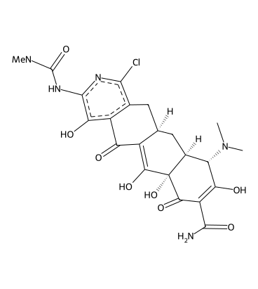 CNC(=O)Nc1nc(Cl)c2c(c1O)C(=O)C1=C(O)[C@]3(O)C(=O)C(C(N)=O)=C(O)[C@@H](N(C)C)[C@@H]3C[C@@H]1C2